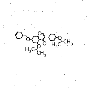 CC(C)OC1=CC[C@H](c2coc3c(c2=O)[C@@H](OC(C)C)C[C@@H](OC[C@H]2CC=CCC2)C3)CC1